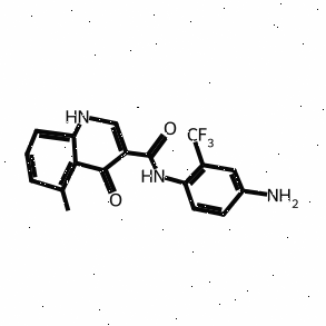 Cc1cccc2[nH]cc(C(=O)Nc3ccc(N)cc3C(F)(F)F)c(=O)c12